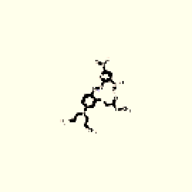 C=CCN(CC=C)c1ccc(/N=N/c2sc([N+](=O)[O-])cc2[N+](=O)[O-])c(OCC(=O)OC)c1